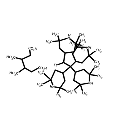 CCC(C1CC(C)(C)NC(C)(C)C1)C(C1CC(C)(C)NC(C)(C)C1)(C1CC(C)(C)NC(C)(C)C1)C1CC(C)(C)NC(C)(C)C1.O=C(O)CC(C(=O)O)C(CC(=O)O)C(=O)O